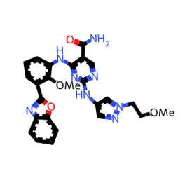 COCCn1cc(Nc2ncc(C(N)=O)c(Nc3cccc(-c4nc5ccccc5o4)c3OC)n2)cn1